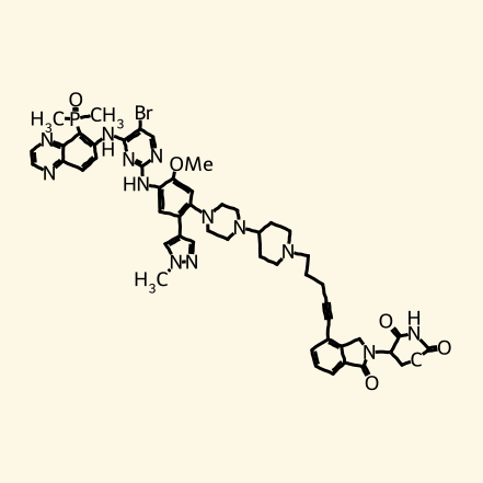 COc1cc(N2CCN(C3CCN(CCCC#Cc4cccc5c4CN(C4CCC(=O)NC4=O)C5=O)CC3)CC2)c(-c2cnn(C)c2)cc1Nc1ncc(Br)c(Nc2ccc3nccnc3c2P(C)(C)=O)n1